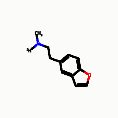 [2H]N(C)CCc1ccc2occc2c1